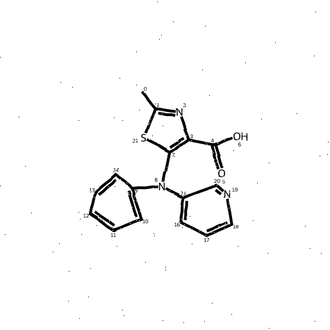 Cc1nc(C(=O)O)c(N(c2ccccc2)c2cccnc2)s1